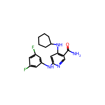 NC(=O)c1cnc(Nc2cc(F)cc(F)c2)cc1NC1CCCCC1